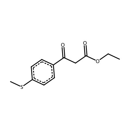 CCOC(=O)CC(=O)c1ccc(SC)cc1